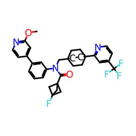 COc1cc(-c2cccc(N(CC34CCC(c5cc(C(F)(F)F)ccn5)(CC3)CC4)C(=O)C34CC(F)(C3)C4)c2)ccn1